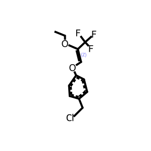 CCO/C(=C\Oc1ccc(CCl)cc1)C(F)(F)F